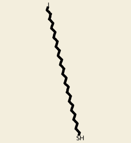 SCCCCCCCCCCCCCCCCCCCCCCCCCCCCI